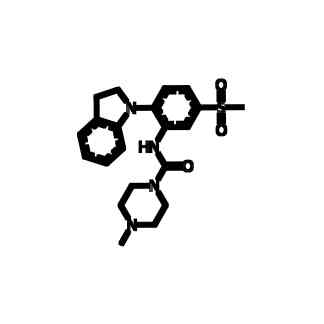 CN1CCN(C(=O)Nc2cc(S(C)(=O)=O)ccc2N2CCc3ccccc32)CC1